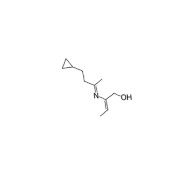 C/C=C(CO)\N=C(/C)CCC1CC1